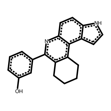 Oc1cccc(-c2nc3ccc4[nH]ccc4c3c3c2CCCC3)c1